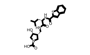 CC(C)C[C@H](NC(=O)c1cc2ccccc2s1)C(=O)NC[C@@H]1CN(C(=O)O)C[C@@H]1O